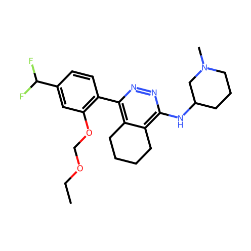 CCOCOc1cc(C(F)F)ccc1-c1nnc(NC2CCCN(C)C2)c2c1CCCC2